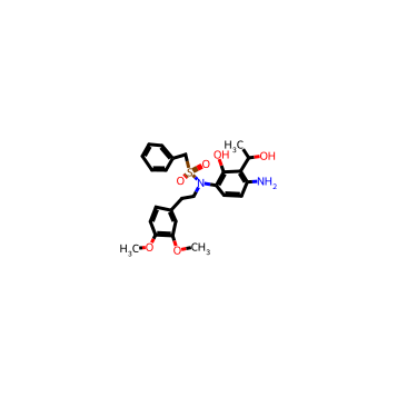 COc1ccc(CCN(c2ccc(N)c(C(C)O)c2O)S(=O)(=O)Cc2ccccc2)cc1OC